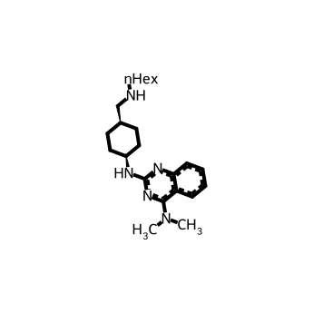 CCCCCCNC[C@H]1CC[C@@H](Nc2nc(N(C)C)c3ccccc3n2)CC1